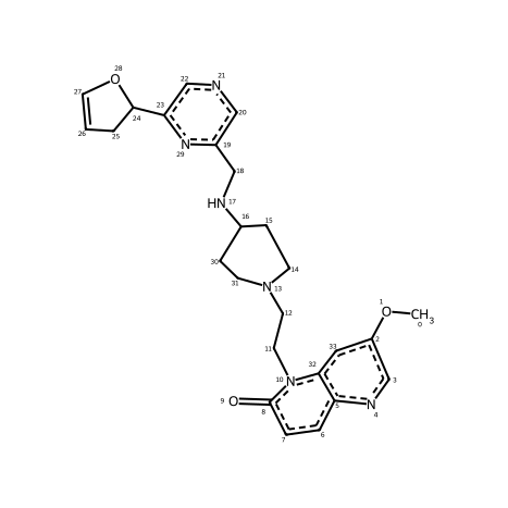 COc1cnc2ccc(=O)n(CCN3CCC(NCc4cncc(C5CC=CO5)n4)CC3)c2c1